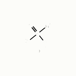 O=P([O-])(Br)Br.[K+]